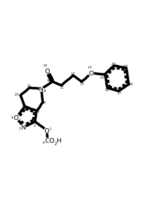 O=C(O)Oc1noc2c1CN(C(=O)CCCOc1ccccc1)CC2